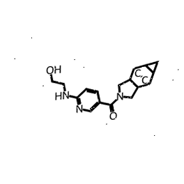 O=C(c1ccc(NCCO)nc1)N1CC2C3CCC(C4CC34)C2C1